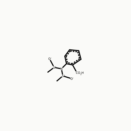 C[S+]([O-])N(c1ccccc1C(=O)O)[S+](C)[O-]